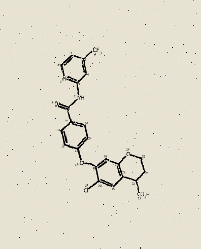 O=C(Nc1cc(C(F)(F)F)ccn1)c1ccc(Oc2cc3c(cc2Cl)C(C(=O)O)CCO3)cc1